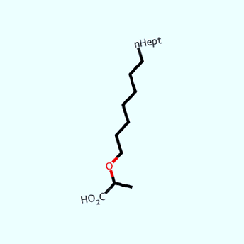 CCCCCCCCCCCCCCOC(C)C(=O)O